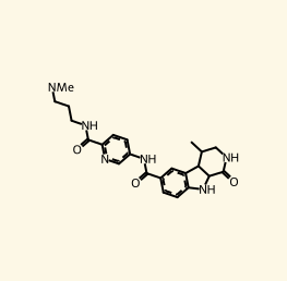 CNCCCNC(=O)c1ccc(NC(=O)c2ccc3c(c2)C2C(C)CNC(=O)C2N3)cn1